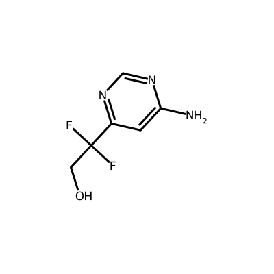 Nc1cc(C(F)(F)CO)ncn1